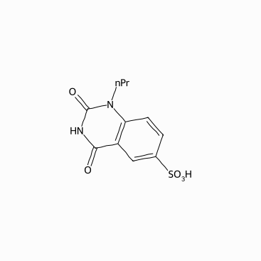 CCCn1c(=O)[nH]c(=O)c2cc(S(=O)(=O)O)ccc21